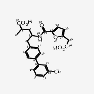 CC(CC(Cc1ccc(-c2cccc(Cl)c2)cc1)NC(=O)c1ccc(CC(=O)O)o1)C(=O)O